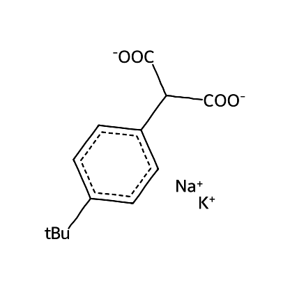 CC(C)(C)c1ccc(C(C(=O)[O-])C(=O)[O-])cc1.[K+].[Na+]